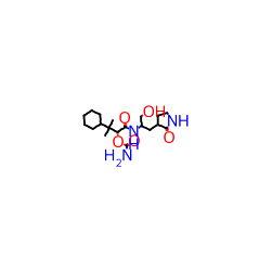 CC(C)(C1CCCCC1)C(OC(N)=O)C(=O)NC(CO)CC1CCNC1=O